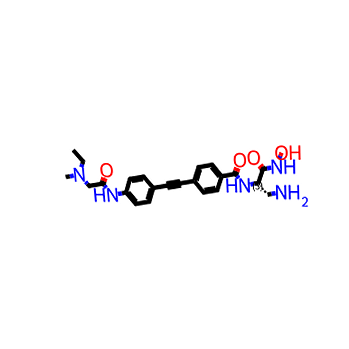 CCN(C)CC(=O)Nc1ccc(C#Cc2ccc(C(=O)N[C@@H](CN)C(=O)NO)cc2)cc1